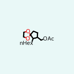 CCCCCCC1C(COC(C)=O)CCC12OCCO2